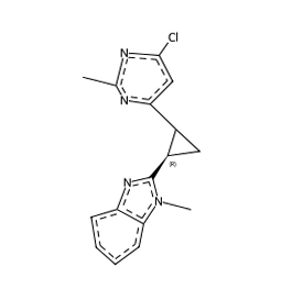 Cc1nc(Cl)cc(C2C[C@H]2c2nc3ccccc3n2C)n1